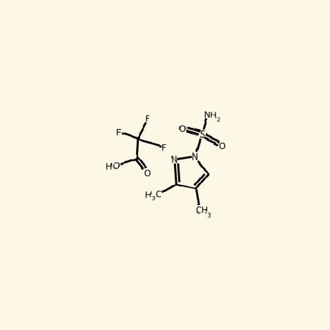 Cc1cn(S(N)(=O)=O)nc1C.O=C(O)C(F)(F)F